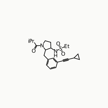 CCS(=O)(=O)NC1CCN(C(=O)C(C)C)C1Cc1cccc(C#CC2CC2)c1